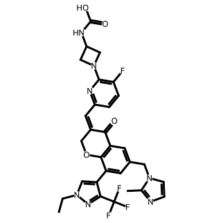 CCn1cc(-c2cc(Cn3ccnc3C)cc3c2OCC(=Cc2ccc(F)c(N4CC(NC(=O)O)C4)n2)C3=O)c(C(F)(F)F)n1